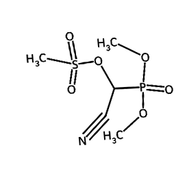 COP(=O)(OC)C(C#N)OS(C)(=O)=O